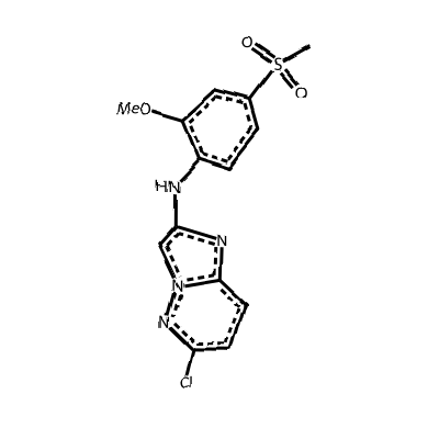 COc1cc(S(C)(=O)=O)ccc1Nc1cn2nc(Cl)ccc2n1